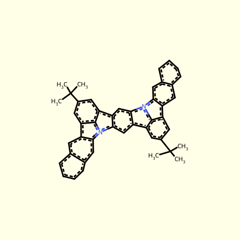 CC(C)(C)c1cc2c3cc4ccccc4cc3n3c4cc5c6cc(C(C)(C)C)cc7c8cc9ccccc9cc8n(c5cc4c(c1)c23)c76